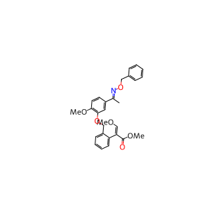 CO/C=C(/C(=O)OC)c1ccccc1COc1cc(/C(C)=N/OCc2ccccc2)ccc1OC